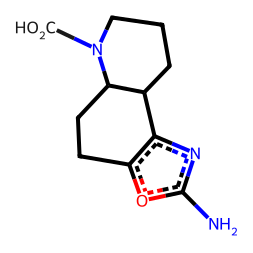 Nc1nc2c(o1)CCC1C2CCCN1C(=O)O